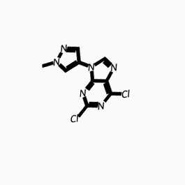 Cn1cc(-n2cnc3c(Cl)nc(Cl)nc32)cn1